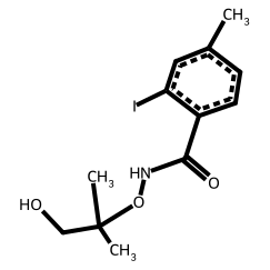 Cc1ccc(C(=O)NOC(C)(C)CO)c(I)c1